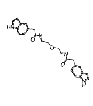 O=C(Cc1ccc2[nH]ccc2c1)N=CCOCC=NC(=O)Cc1ccc2[nH]ccc2c1